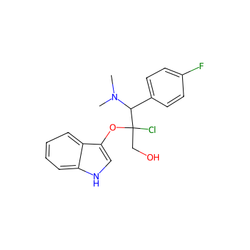 CN(C)C(c1ccc(F)cc1)C(Cl)(CO)Oc1c[nH]c2ccccc12